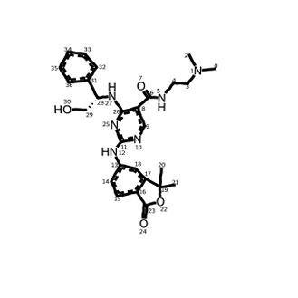 CN(C)CCNC(=O)c1cnc(Nc2ccc3c(c2)C(C)(C)OC3=O)nc1N[C@H](CO)c1ccccc1